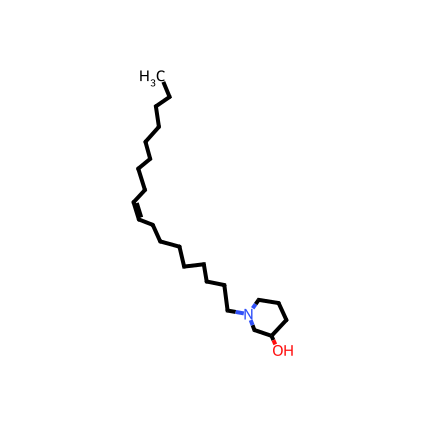 CCCCCCCC/C=C\CCCCCCCCN1CCCC(O)C1